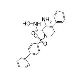 NC1=C(c2ccccc2)CCN(S(=O)(=O)c2ccc(-c3ccccc3)cc2)C1C(=O)NO